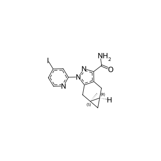 C[C@]12Cc3c(c(C(N)=O)nn3-c3cc(I)ccn3)C[C@H]1C2